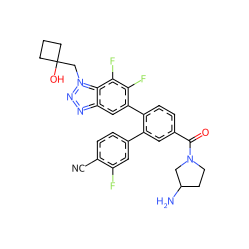 N#Cc1ccc(-c2cc(C(=O)N3CCC(N)C3)ccc2-c2cc3nnn(CC4(O)CCC4)c3c(F)c2F)cc1F